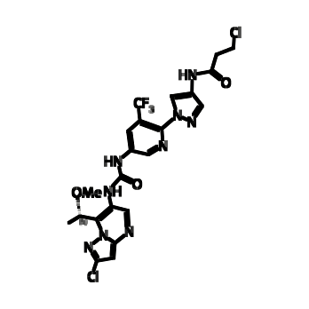 CO[C@@H](C)c1c(NC(=O)Nc2cnc(-n3cc(NC(=O)CCCl)cn3)c(C(F)(F)F)c2)cnc2cc(Cl)nn12